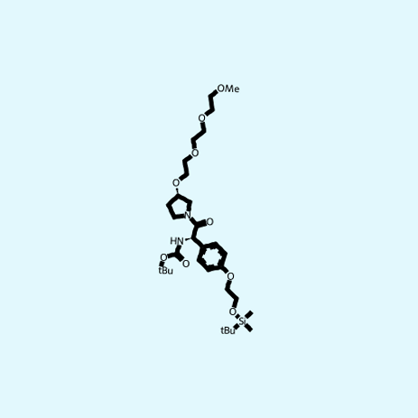 COCCOCCOCCO[C@H]1CCN(C(=O)[C@@H](NC(=O)OC(C)(C)C)c2ccc(OCCO[Si](C)(C)C(C)(C)C)cc2)C1